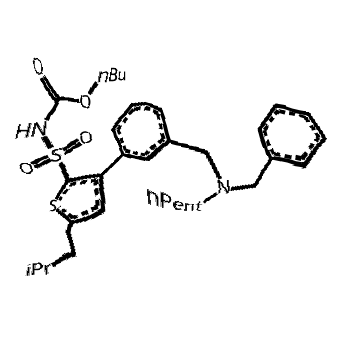 CCCCCN(Cc1ccccc1)Cc1cccc(-c2cc(CC(C)C)sc2S(=O)(=O)NC(=O)OCCCC)c1